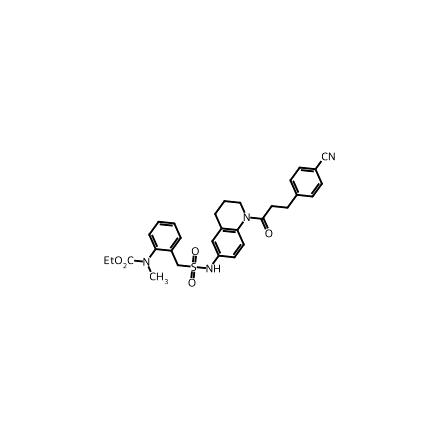 CCOC(=O)N(C)c1ccccc1CS(=O)(=O)Nc1ccc2c(c1)CCCN2C(=O)CCc1ccc(C#N)cc1